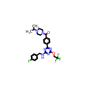 CC(C)N1CCN(C(=O)c2ccc(-c3nc(NCc4ccc(F)cc4)nc(OCC(F)(F)F)n3)cc2)CC1